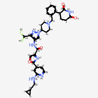 O=C1CCC(c2ccccc2CN2CCC(n3cc(NC(=O)c4coc(-c5ccnc(NCC6CC6)c5)n4)c(C(F)F)n3)CC2)C(=O)N1